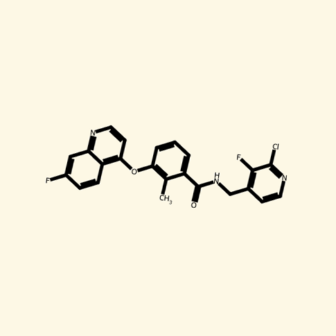 Cc1c(Oc2ccnc3cc(F)ccc23)cccc1C(=O)NCc1ccnc(Cl)c1F